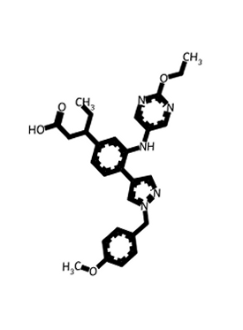 CCOc1ncc(Nc2cc(C(CC)CC(=O)O)ccc2-c2cnn(Cc3ccc(OC)cc3)c2)cn1